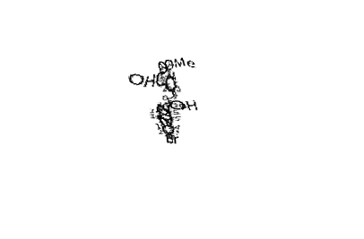 COC(=O)c1ccc(CC[C@H](O)CN2CC3(C2)CN(c2ccc(Br)cc2)C3)cc1C=O